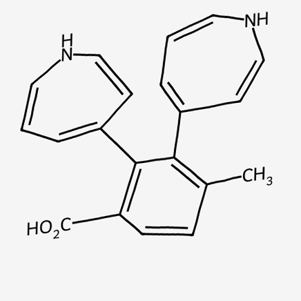 Cc1ccc(C(=O)O)c(C2=CC=CNC=C2)c1C1=CC=CNC=C1